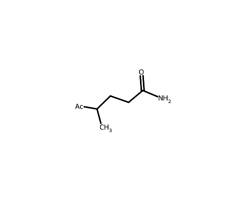 CC(=O)C(C)CCC(N)=O